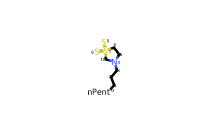 CCCCCCCCN1CCS(=S)(=S)C1